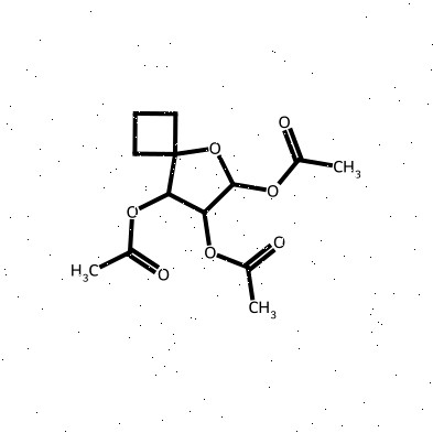 CC(=O)OC1OC2(CCC2)C(OC(C)=O)C1OC(C)=O